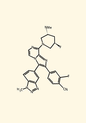 CN[C@@H]1C[C@@H](F)CN(c2nccn3c(-c4ccc5c(c4)nnn5C)c(-c4ccc(C#N)c(F)c4)nc23)C1